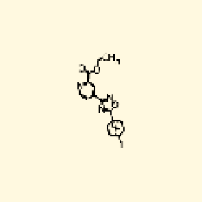 CCOC(=O)c1cc(-c2noc(C34CCC(I)(CC3)CC4)n2)ccn1